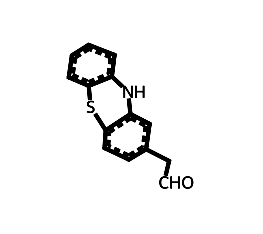 O=CCc1ccc2c(c1)Nc1ccccc1S2